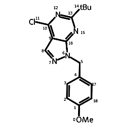 COc1ccc(Cn2ncc3c(Cl)nc(C(C)(C)C)nc32)cc1